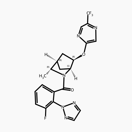 C[C@@H]1[C@H]2C[C@@H](Oc3cnc(C(F)(F)F)cn3)[C@H](C2)N1C(=O)c1cccc(F)c1-n1nccn1